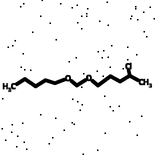 CCCCCOCOCCCC(C)Cl